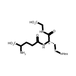 CCCCCCSC[C@H](NC(=O)CCC(N)C(=O)O)C(=O)NCC(=O)O